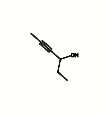 CC#CC(O)CC